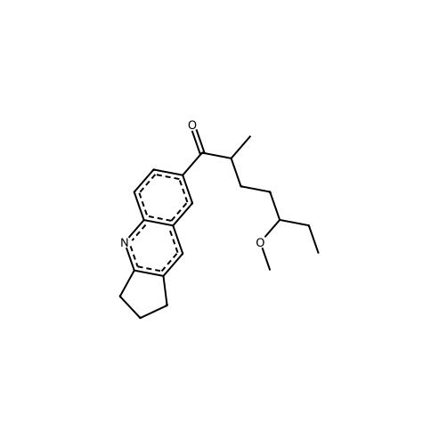 CCC(CCC(C)C(=O)c1ccc2nc3c(cc2c1)CCC3)OC